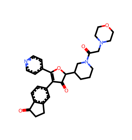 O=C1CCc2cc(C3=C(c4ccncc4)OC(C4CCCN(C(=O)CN5CCOCC5)C4)C3=O)ccc21